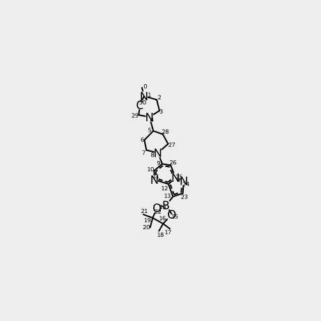 CN1CCN(C2CCN(c3cnc4c(B5OC(C)(C)C(C)(C)O5)cnn4c3)CC2)CC1